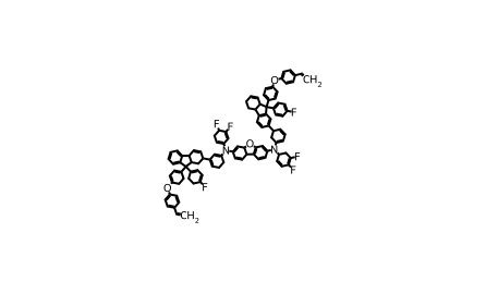 C=Cc1ccc(OC2=CC=C(C3(C4=CC=C(F)CC4)c4ccccc4C4C=CC(C5=CCCC(N(C6=CCC(F)C(F)=C6)C6=CC7Oc8cc(N(C9=CC=CC(c%10ccc%11c(c%10)C(c%10ccc(F)cc%10)(c%10ccc(Oc%12ccc(C=C)cc%12)cc%10)C%10C=CCCC%11%10)C9)C9C=CC(F)=C(F)C9)ccc8C7C=C6)=C5)CC43)CC2)cc1